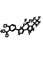 Cn1nc(C(F)(F)C(F)(F)F)c(C(F)(F)F)c1-c1csc(-c2ccc(Cl)c(C(=O)O)c2)n1